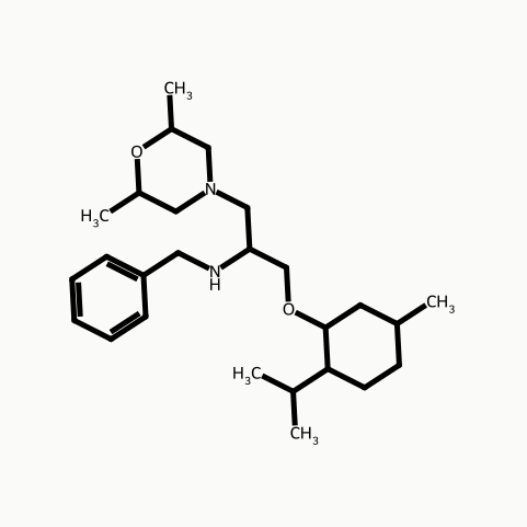 CC1CCC(C(C)C)C(OCC(CN2CC(C)OC(C)C2)NCc2ccccc2)C1